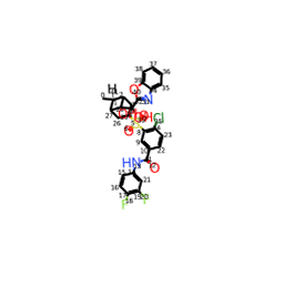 C[C@H]1C2CC(S(=O)(=O)c3cc(C(=O)Nc4ccc(F)c(F)c4)ccc3Cl)CC1[C@@]2(O)C(O)c1nc2ccccc2o1